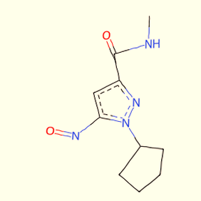 CNC(=O)c1cc(N=O)n(C2CCCC2)n1